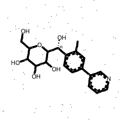 Cc1cc(-c2cccnc2)ccc1[C@@H](O)C1OC(CO)C(O)C(O)C1O